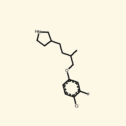 CC(CCC1CCNC1)COc1ccc(Cl)c(F)c1